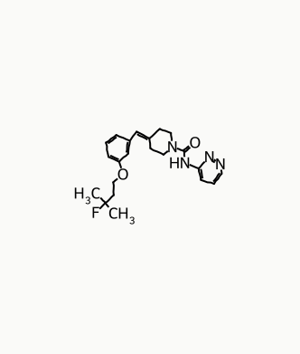 CC(C)(F)CCOc1cccc(C=C2CCN(C(=O)Nc3cccnn3)CC2)c1